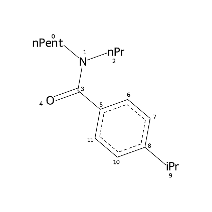 CCCCCN(CCC)C(=O)c1ccc(C(C)C)cc1